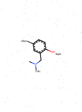 CCCCCCCCCc1ccc(O)c(CN(C)OC(C)=O)c1.[NaH]